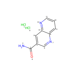 Cl.Cl.NC(=O)c1cnc2cccnc2c1